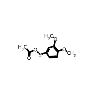 COc1ccc(SOC(C)=O)cc1OC